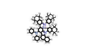 CC1(C)CCC(C)(C)c2cc(Nc3cc4c(cc3-c3cc(N(c5ccccc5)c5ccccc5)c5c6ccc7ccccc7c6n6c5c3Bc3cc5c(cc3-6)C(C)(C)CCC5(C)C)C(C)(C)CCC4(C)C)ccc21